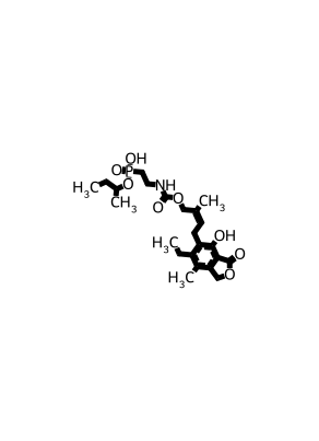 CCc1c(C)c2c(c(O)c1CC=C(C)COC(=O)NCCP(=O)(O)OC(C)CC)C(=O)OC2